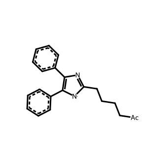 CC(=O)CCCCC1=NC(c2ccccc2)=C(c2ccccc2)[N]1